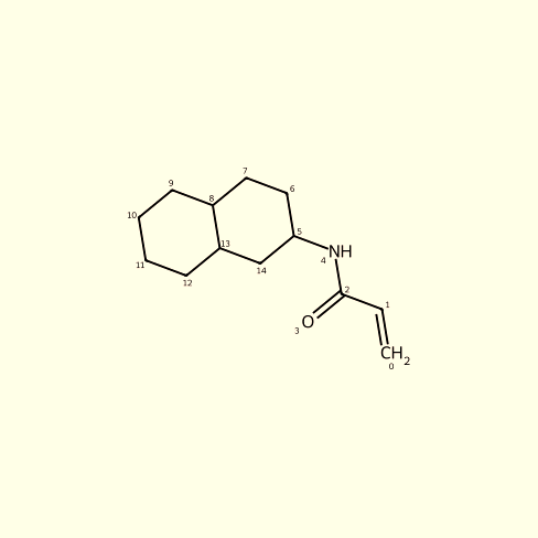 C=CC(=O)NC1CCC2CCCCC2C1